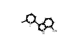 Cc1cccc(-c2c[nH]c3c(C#N)cccc23)n1